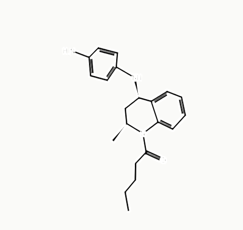 CCCCC(=O)N1c2ccccc2[C@H](Nc2ccc(N)cc2)C[C@@H]1C